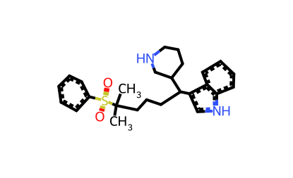 CC(C)(CCCC(c1c[nH]c2ccccc12)C1CCCNC1)S(=O)(=O)c1ccccc1